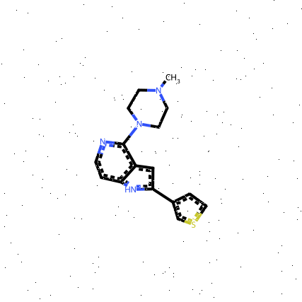 CN1CCN(c2nccc3[nH]c(-c4ccsc4)cc23)CC1